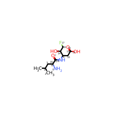 CC(C)C[C@H](N)C(=O)NC(CC(=O)O)C(O)CF